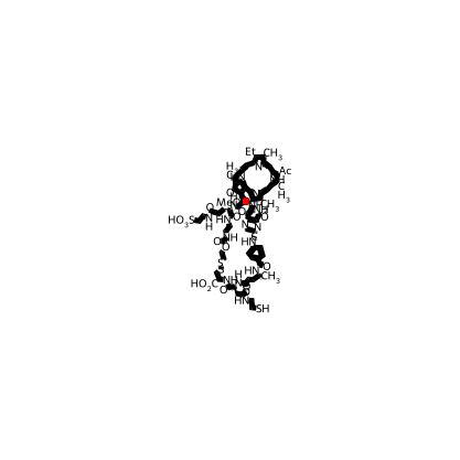 CC[C@H]1c2cc3[nH]c4c(c3C)C(=O)C(C(=O)OC)c4c3nc(cc4[nH]c(cc(n2)[C@@H]1C)c(C(C)=O)c4C)[C@@H](C)[C@@H]3CCC(=O)N[C@@H](CCC(=O)NCCS(=O)(=O)O)C(=O)NCCNC(=O)OCCSSC[C@H](NC(=O)[C@H](CC(=O)NCCS)NC(=O)CC[C@@H](C)NC(=O)c1ccc(NCc2cnc3cc(N)[nH]c(=O)c3n2)cc1)C(=O)O